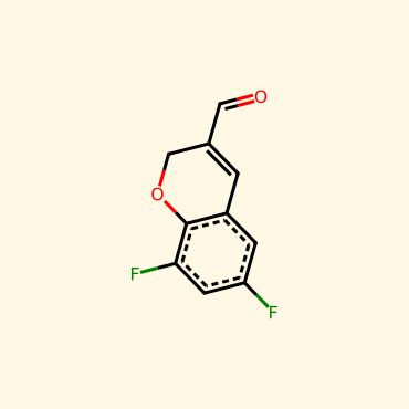 O=CC1=Cc2cc(F)cc(F)c2OC1